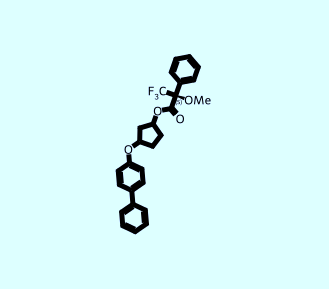 CO[C@](C(=O)OC1CCC(Oc2ccc(-c3ccccc3)cc2)C1)(c1ccccc1)C(F)(F)F